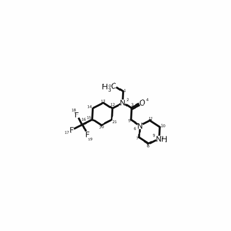 CCN(C(=O)CN1CCNCC1)C1CCC(C(F)(F)F)CC1